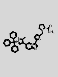 Cc1nn(C(c2ccccc2)(c2ccccc2)C2C=CC=CC2)cc1-c1ccc2ncc(-c3ccc(CN4CCC[C@H]4C(N)=O)s3)n2c1